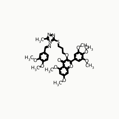 COc1cc(OC)c2c(=O)c(OCCCSc3nnc(C)n3N=Cc3ccc(OC)c(OC)c3)c(-c3cc(OC)c(OC)c(OC)c3)oc2c1